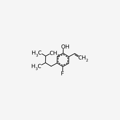 C=Cc1cc(F)c(CC(C)C(C)C)cc1O